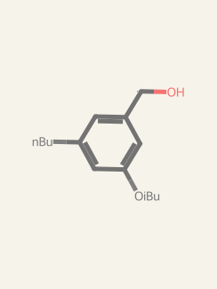 CCCCc1cc([CH]O)cc(OCC(C)C)c1